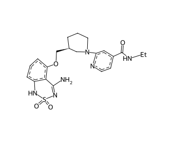 CCNC(=O)c1ccnc(N2CCC[C@H](COc3cccc4c3C(N)=NS(=O)(=O)N4)C2)c1